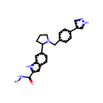 CC(C)NC(=O)c1cc2ccc(C3CCCN3Cc3ccc(-c4cn[nH]c4)cc3)cc2[nH]1